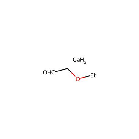 CCOCC=O.[GaH3]